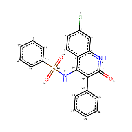 O=c1[nH]c2cc(Cl)ccc2c(NS(=O)(=O)c2ccccc2)c1-c1ccccc1